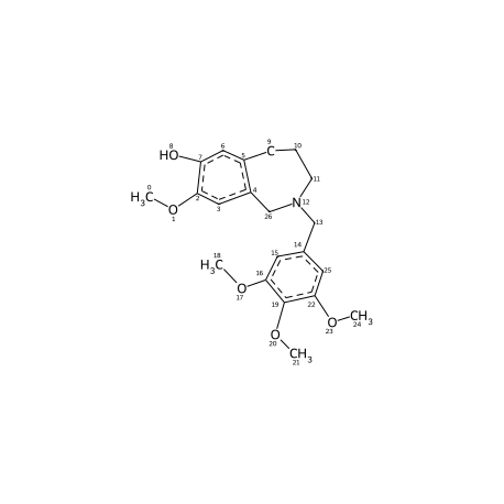 COc1cc2c(cc1O)CCCN(Cc1cc(OC)c(OC)c(OC)c1)C2